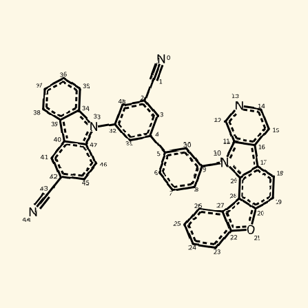 N#Cc1cc(-c2cccc(-n3c4cnccc4c4ccc5oc6ccccc6c5c43)c2)cc(-n2c3ccccc3c3cc(C#N)ccc32)c1